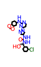 O=C(Nc1cnn(-c2ccnc(Nc3ccc4c(c3)OCO4)n2)c1)N[C@H](CO)c1cccc(Cl)c1